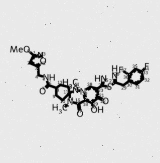 COc1cc(CNC(=O)C2CCC3(CC2)N(C)C(=O)c2c(O)c(=O)c(C(=N)SC(=N)Cc4ccc(F)cc4F)cn2N3C)on1